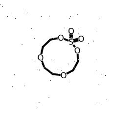 O=S1(=O)OCCOCCOCCO1